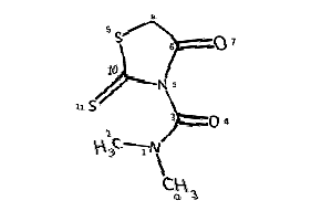 CN(C)C(=O)N1C(=O)CSC1=S